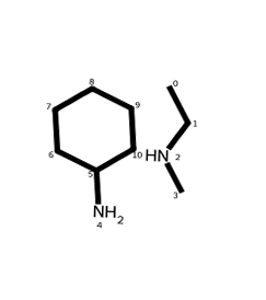 CCNC.NC1CCCCC1